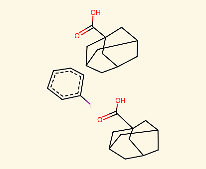 Ic1ccccc1.O=C(O)C12CC3CC(CC(C3)C1)C2.O=C(O)C12CC3CC(CC(C3)C1)C2